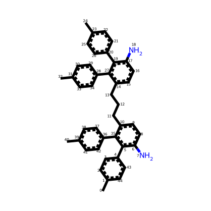 Cc1ccc(-c2c(N)ccc(CCCc3ccc(N)c(-c4ccc(C)cc4)c3-c3ccc(C)cc3)c2-c2ccc(C)cc2)cc1